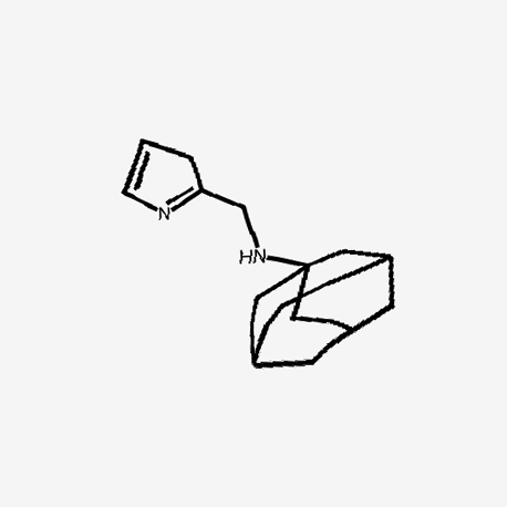 C1=CN=C(CNC23CC4CC(CC(C4)C2)C3)C1